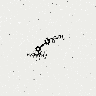 CCOC(=O)Cc1cnc(C#Cc2ccc3c(c2)C(C)(C)CC(C)(C)S3)cn1